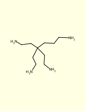 NCCCC(CCN)(CCN)CCN